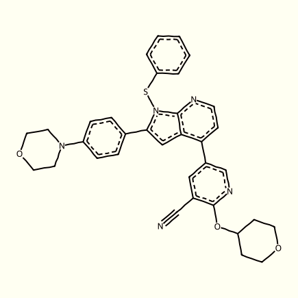 N#Cc1cc(-c2ccnc3c2cc(-c2ccc(N4CCOCC4)cc2)n3Sc2ccccc2)cnc1OC1CCOCC1